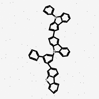 c1ccc(-c2cc(-c3ccc4c(c3)sc3ccccc34)cc(-n3c4ccccc4c4cc(-c5ccc6c(c5)c5ccccc5n6-c5ccccc5)ccc43)c2)cc1